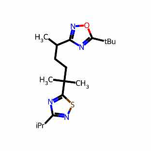 CC(C)c1nsc(C(C)(C)CCC(C)c2noc(C(C)(C)C)n2)n1